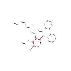 C=C\C=C/C=C(/N=C(\C=C(/C(=C\C(=C)C(/C=C\C)CC=C)c1ccccc1)c1ccccc1)c1ccccc1)C(C)C